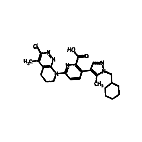 Cc1c(Cl)nnc2c1CCCN2c1ccc(-c2cnn(CC3CCCCC3)c2C)c(C(=O)O)n1